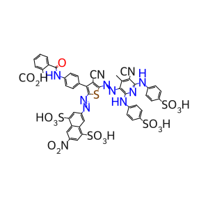 Cc1c(C#N)c(Nc2ccc(S(=O)(=O)O)cc2)nc(Nc2ccc(S(=O)(=O)O)cc2)c1N=Nc1sc(/N=N/c2cc(S(=O)(=O)O)c3cc([N+](=O)[O-])cc(S(=O)(=O)O)c3c2)c(-c2ccc(NC(=O)c3ccccc3C(=O)O)cc2)c1C#N